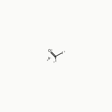 O=C(I)I.[Ir]